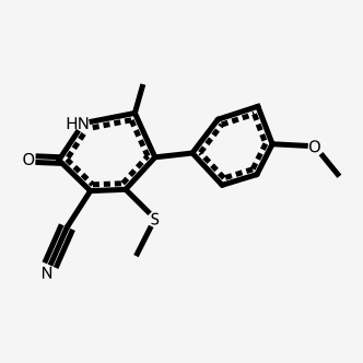 COc1ccc(-c2c(C)[nH]c(=O)c(C#N)c2SC)cc1